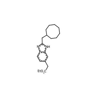 CCOC(=O)Cc1ccc2nc(CC3CCCCCCC3)[nH]c2c1